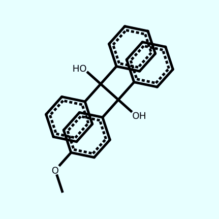 COc1ccc(C(O)(c2ccccc2)C(O)(c2ccccc2)c2ccccc2)cc1